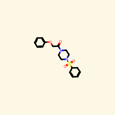 O=C(COc1ccccc1)N1CCN(S(=O)(=O)C2C=CC=CC2)CC1